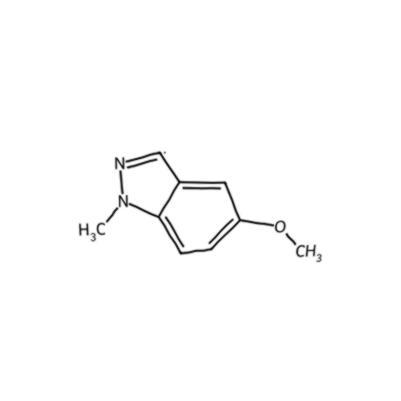 COc1ccc2c([c]nn2C)c1